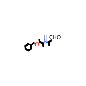 C/C(=C/C=O)N/C(C)=C(\C)OCc1ccccc1